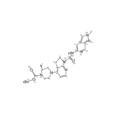 C[C@H]1CN(c2ccnc3c2CCN3C(=O)Nc2cc3cn(C)nc3cn2)CCN1C(=O)OC(C)(C)C